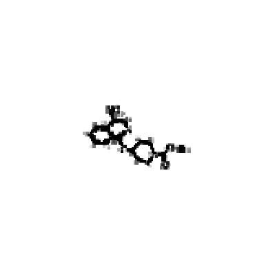 CC(C)(C)OC(=O)N1CCC(Oc2ncc([N+](=O)[O-])c3ccccc23)CC1